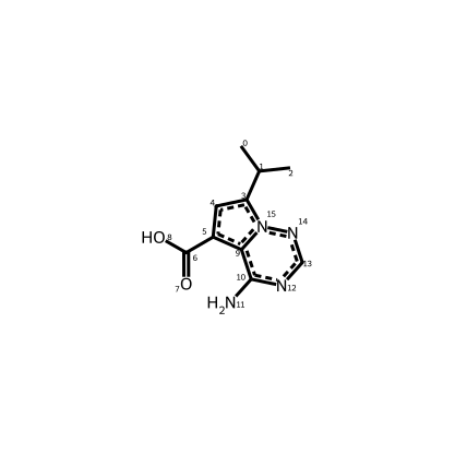 CC(C)c1cc(C(=O)O)c2c(N)ncnn12